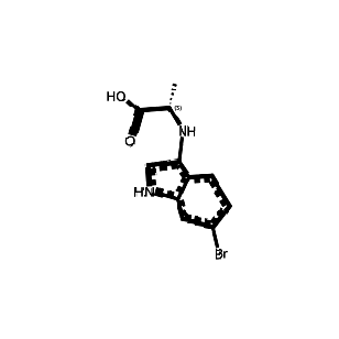 C[C@H](Nc1c[nH]c2cc(Br)ccc12)C(=O)O